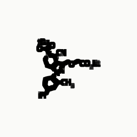 CCOC(=O)COCc1nn(-c2ccc(C(C)C)cc2C)c2c1[C@H](C#N)N(C(=O)OC(C)(C)C)CC2